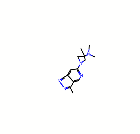 Cc1nncc2cc(N3CC(C)(N(C)C)C3)ncc12